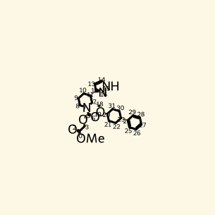 COC(=O)COC(=O)N1CCC[C@H](c2cc[nH]n2)[C@@H]1CO[C@H]1CC[C@@H](c2ccccc2)CC1